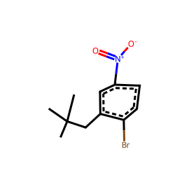 CC(C)(C)Cc1cc([N+](=O)[O-])ccc1Br